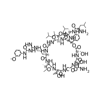 CC[C@H](C)[C@@H]1NC(=O)[C@@H](CCCNC(=N)NC(=O)Nc2cccc(OC)c2)NC(=O)[C@H](C)NC(=O)[C@H]([C@H](O)C(C)CC(C)C)NC(=O)[C@@H](NC(=O)[C@H](CC(C)C)NC(=O)[C@H](N)CC(C)C)[C@@H](c2ccccc2)OC(=O)[C@H](CO)NC(=O)[C@H]([C@H](O)C(N)=O)NC(=O)CNC(=O)[C@H]([C@H](C)O)NC1=O